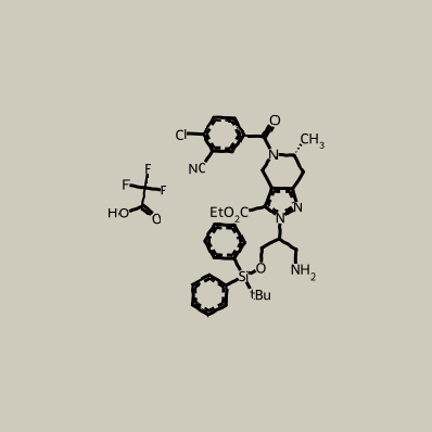 CCOC(=O)c1c2c(nn1C(CN)CO[Si](c1ccccc1)(c1ccccc1)C(C)(C)C)C[C@@H](C)N(C(=O)c1ccc(Cl)c(C#N)c1)C2.O=C(O)C(F)(F)F